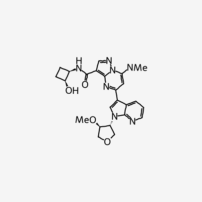 CNc1cc(-c2cn([C@@H]3COC[C@H]3OC)c3ncccc23)nc2c(C(=O)N[C@@H]3CC[C@@H]3O)cnn12